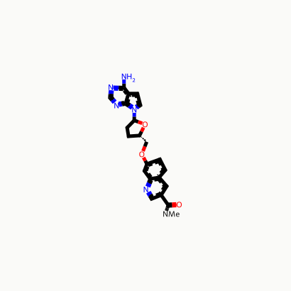 CNC(=O)c1cnc2cc(OC[C@@H]3CCC(n4ccc5c(N)ncnc54)O3)ccc2c1